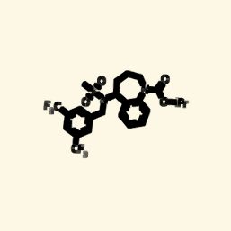 CC(C)OC(=O)N1CCCC(N(Cc2cc(C(F)(F)F)cc(C(F)(F)F)c2)S(C)(=O)=O)c2ccccc21